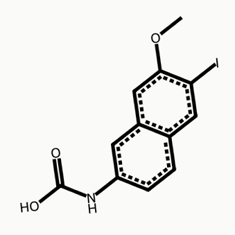 COc1cc2cc(NC(=O)O)ccc2cc1I